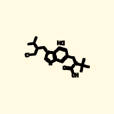 CC(C)C(CCl)Cn1cnc2cc(CN(C(=O)O)C(C)(C)C)ccc21.Cl